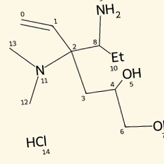 C=CC(CC(O)CO)(C(N)CC)N(C)C.Cl